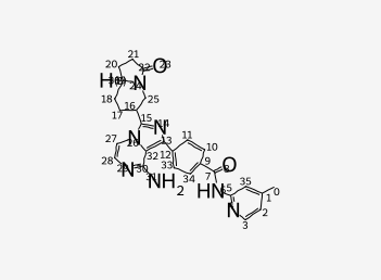 Cc1ccnc(NC(=O)c2ccc(-c3nc(C4CC[C@H]5CCC(=O)N5C4)n4ccnc(N)c34)cc2)c1